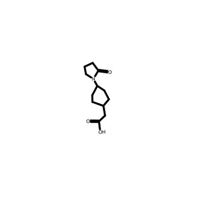 O=C(O)CC1CCC(N2CCCC2=O)CC1